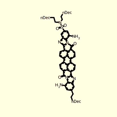 CCCCCCCCCCCCc1cc(N)c2c(c1)nc1c3ccc4c5ccc6c(=O)n7c(nc8cc(S(=O)(=O)N(CCCCCCCCCCCC)CCCCCCCCCCCC)cc(N)c87)c7ccc(c8ccc(c(=O)n12)c3c48)c5c67